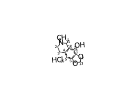 CN1CCc2cc3c(c(O)c2C1)OCO3.Cl